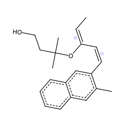 C/C=C(\C=C/c1cc2ccccc2cc1C)OC(C)(C)CCO